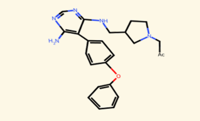 CC(=O)CN1CCC(CNc2ncnc(N)c2-c2ccc(Oc3ccccc3)cc2)C1